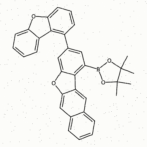 CC1(C)OB(c2cc(-c3cccc4oc5ccccc5c34)cc3oc4cc5ccccc5cc4c23)OC1(C)C